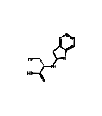 O=C(O)[C@H](CS)Nc1nc2ccccc2s1